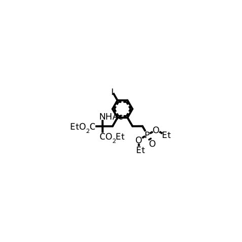 CCOC(=O)C(Cc1cc(I)ccc1CCP(=O)(OCC)OCC)(NC(C)=O)C(=O)OCC